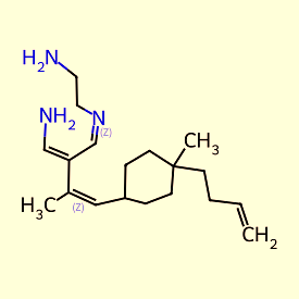 C=CCCC1(C)CCC(/C=C(/C)C(=CN)/C=N\CCN)CC1